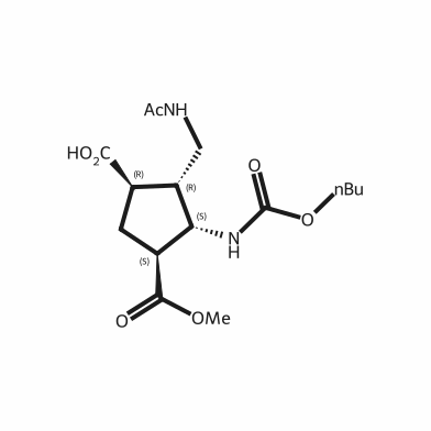 CCCCOC(=O)N[C@H]1[C@@H](CNC(C)=O)[C@H](C(=O)O)C[C@@H]1C(=O)OC